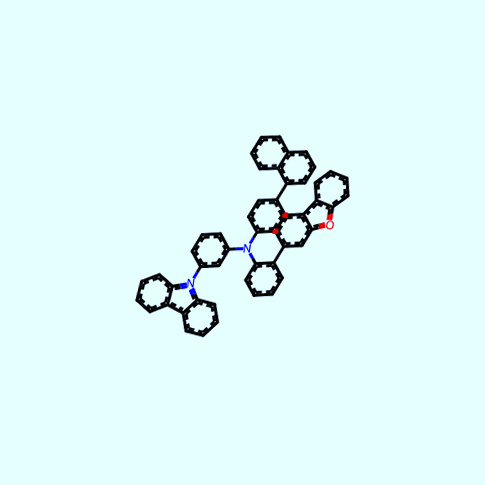 c1cc(N(c2ccc(-c3cccc4ccccc34)cc2)c2ccccc2-c2ccc3c(c2)oc2ccccc23)cc(-n2c3ccccc3c3ccccc32)c1